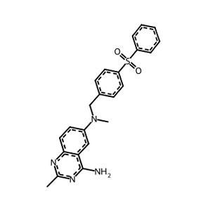 Cc1nc(N)c2cc(N(C)Cc3ccc(S(=O)(=O)c4ccccc4)cc3)ccc2n1